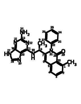 Cc1cccc2cc([C@H](C)Nc3nc(N)nc4[nH]cnc34)n(-c3ccccc3)c(=O)c12